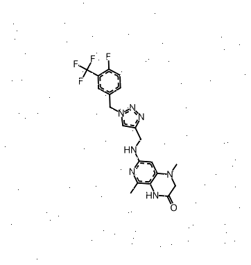 Cc1nc(NCc2cn(Cc3ccc(F)c(C(F)(F)F)c3)nn2)cc2c1NC(=O)CN2C